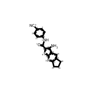 N#Cc1ccc(NC(=O)c2sc3nc4c(cc3c2N)CCC4)cc1